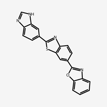 c1ccc2oc(-c3ccc4nc(-c5ccc6nc[nH]c6c5)sc4c3)nc2c1